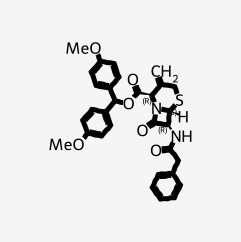 C=C1CS[C@H]2[C@H](NC(=O)Cc3ccccc3)C(=O)N2[C@H]1C(=O)OC(c1ccc(OC)cc1)c1ccc(OC)cc1